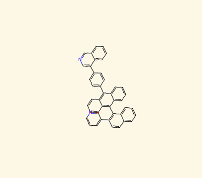 c1cncc(-c2ccc3ccccc3c2-c2c3ccccc3c(-c3ccc(-c4cncc5ccccc45)cc3)c3ccccc23)c1